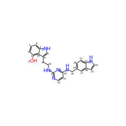 Oc1cccc2[nH]cc(CCNc3nccc(NCc4ccc5[nH]ccc5c4)n3)c12